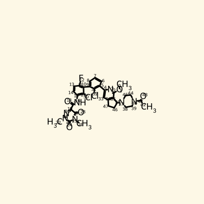 COc1nc(-c2cccc(-c3c(F)ccc(NC(=O)c4nn(C)c(=O)n(C)c4=O)c3Cl)c2Cl)cc2c1[C@@H](N1CCN(C(C)=O)CC1)CC2